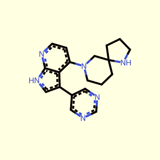 c1ncc(-c2c[nH]c3nccc(N4CCCC5(CCCN5)C4)c23)cn1